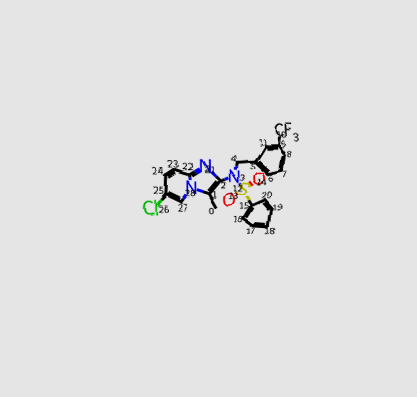 Cc1c(N(Cc2cccc(C(F)(F)F)c2)S(=O)(=O)c2ccccc2)nc2ccc(Cl)cn12